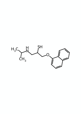 CC(C)NCC(S)COc1cccc2ccccc12